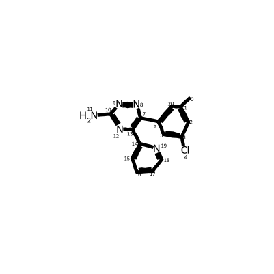 Cc1cc(Cl)cc(-c2nnc(N)nc2-c2ccccn2)c1